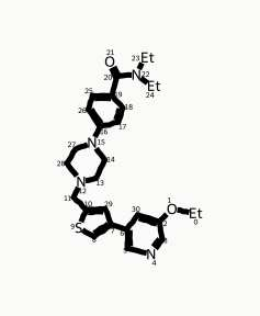 CCOc1cncc(-c2csc(CN3CCN(c4ccc(C(=O)N(CC)CC)cc4)CC3)c2)c1